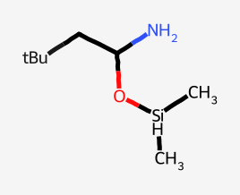 C[SiH](C)OC(N)CC(C)(C)C